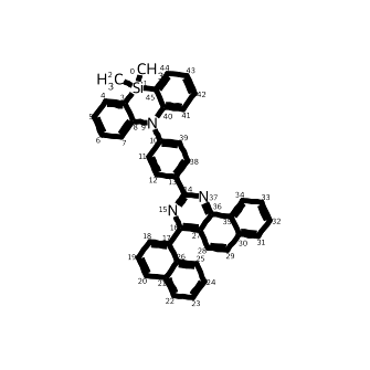 C[Si]1(C)c2ccccc2N(c2ccc(-c3nc(-c4cccc5ccccc45)c4ccc5ccccc5c4n3)cc2)c2ccccc21